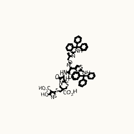 O=C(NC1C(=O)N2CC(CSc3snc(O)c3C(=O)O)(C(=O)O)CS[C@H]12)C(=NOCc1csc(NC(c2ccccc2)(c2ccccc2)c2ccccc2)n1)c1csc(NC(c2ccccc2)(c2ccccc2)c2ccccc2)n1